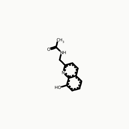 CC(=O)NCc1ccc2cccc(O)c2n1